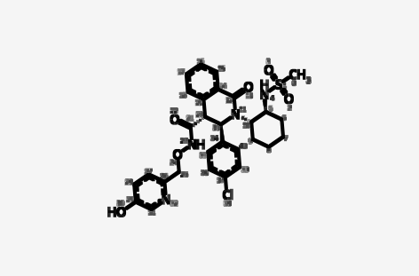 CS(=O)(=O)N[C@H]1CCCC[C@@H]1N1C(=O)c2ccccc2[C@@H](C(=O)NOCc2ccc(O)cn2)[C@@H]1c1ccc(Cl)cc1